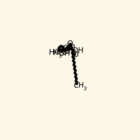 CCCCCCCCCCCCCCCC(=O)CC(O)C1OC(=O)C2=C1OC(C)(c1cccc(O)c1O)O2